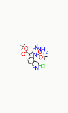 CN(N)Cc1c(C(=O)OC(C)(C)C)c2ccc3cnc(Cl)cc3c2n1C(=O)OC(C)(C)C